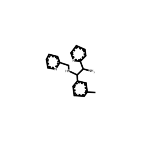 Cc1cccc(C(NCc2ccccn2)C(N)c2ccccn2)c1